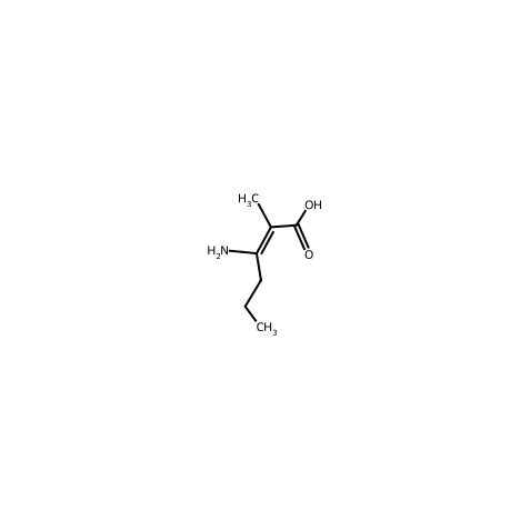 CCCC(N)=C(C)C(=O)O